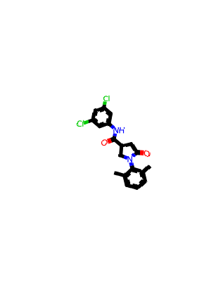 Cc1cccc(C)c1N1CC(C(=O)Nc2cc(Cl)cc(Cl)c2)CC1=O